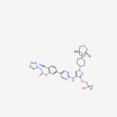 CC(Cn1cnnn1)Oc1cc(-c2cnc(Nc3cn(C4CCC(N5[C@@H]6CC[C@H]5COC6)CC4)nc3OCC3(O)CC3)nc2)ccc1C#N